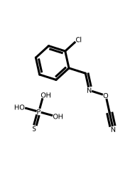 N#CON=Cc1ccccc1Cl.OP(O)(O)=S